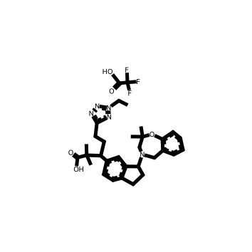 CCn1nnc(CCC(c2ccc3c(c2)C(N2Cc4ccccc4OC(C)(C)C2)CC3)C(C)(C)C(=O)O)n1.O=C(O)C(F)(F)F